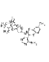 Cc1ccc(Sc2nn(C3CC(O[Si](C(C)C)(C(C)C)C(C)C)[CH]O3)c3ncnc(N)c23)c(F)c1